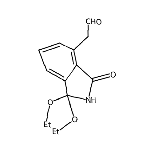 CCOC1(OCC)NC(=O)c2c(CC=O)cccc21